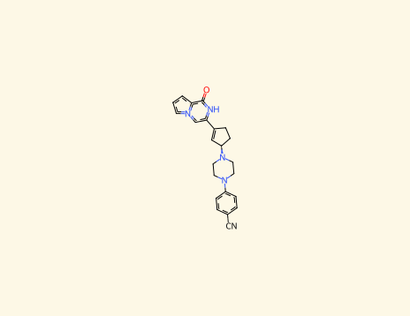 N#Cc1ccc(N2CCN([C@H]3C=C(c4cn5cccc5c(=O)[nH]4)CC3)CC2)cc1